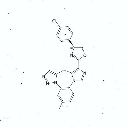 Cc1ccc2c(c1)-n1nncc1Cc1c(C3=N[C@@H](c4ccc(Cl)cc4)CO3)ncn1-2